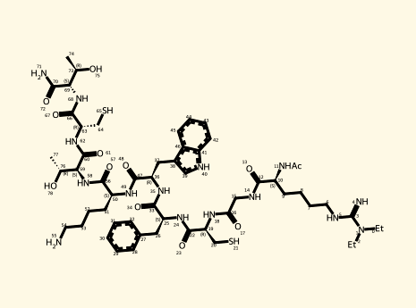 CCN(CC)C(=N)NCCCC[C@H](NC(C)=O)C(=O)NCC(=O)N[C@@H](CS)C(=O)N[C@@H](Cc1ccccc1)C(=O)N[C@H](Cc1c[nH]c2ccccc12)C(=O)N[C@@H](CCCCN)C(=O)N[C@H](C(=O)N[C@@H](CS)C(=O)N[C@H](C(N)=O)[C@@H](C)O)[C@@H](C)O